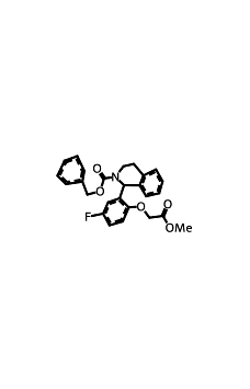 COC(=O)COc1ccc(F)cc1C1c2ccccc2CCN1C(=O)OCc1ccccc1